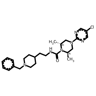 C[C@@H]1CN(c2ncc(Cl)cn2)C[C@@H](C)N1C(=O)NCCC1CCN(Cc2ccccc2)CC1